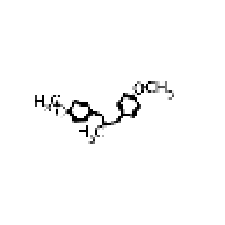 COc1ccc(CC(C)Cc2ccc(OC)cc2)cc1